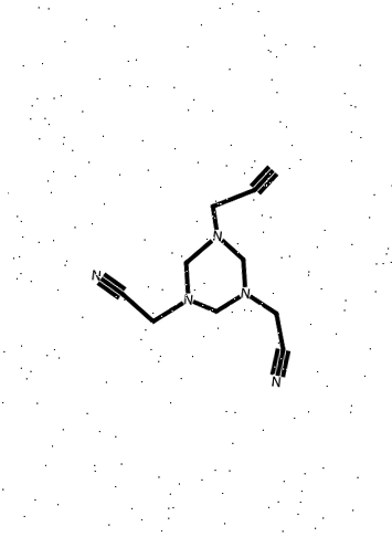 C#CCN1CN(CC#N)CN(CC#N)C1